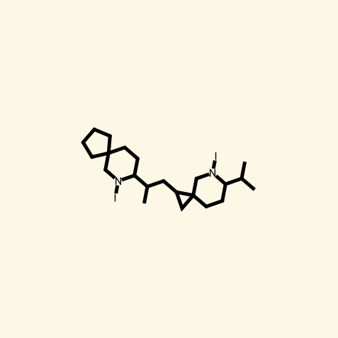 CC(C)C1CCC2(CC2CC(C)C2CCC3(CCCC3)CN2I)CN1I